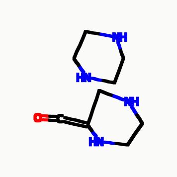 C1CNCCN1.O=C=C1CNCCN1